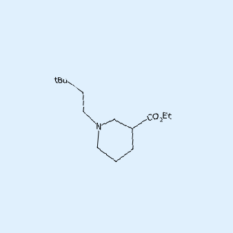 CCOC(=O)C1CCCN(CCC(C)(C)C)C1